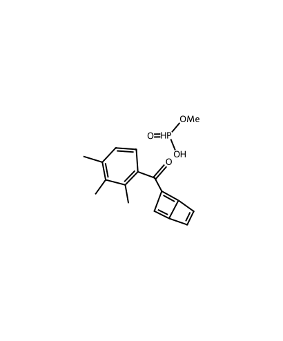 CO[PH](=O)O.Cc1ccc(C(=O)c2cc3ccc2-3)c(C)c1C